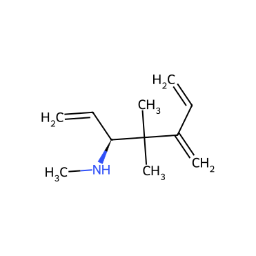 C=CC(=C)C(C)(C)[C@H](C=C)NC